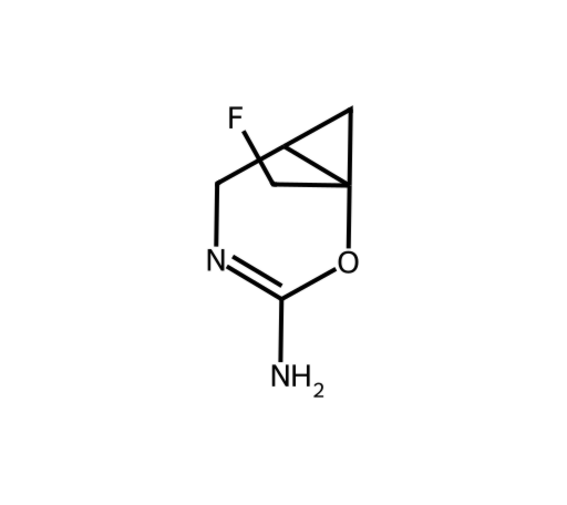 NC1=NCC2CC2(CF)O1